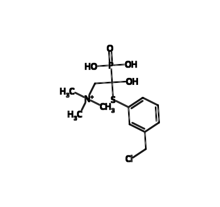 C[N+](C)(C)CC(O)(Sc1cccc(CCl)c1)P(=O)(O)O